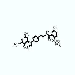 Cc1ccc(S(N)(=O)=O)c(C(=O)NCCc2ccc(Nc3cc(C)nc(C)c3[N+](=O)[O-])cc2)c1